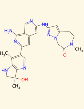 Cc1c(-c2cc3cc(Nc4cc5n(n4)CC(=O)N(C)CC5)ncc3c(N)n2)cnc2c1NC[C@]2(C)O